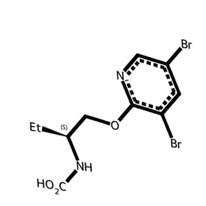 CC[C@@H](COc1ncc(Br)cc1Br)NC(=O)O